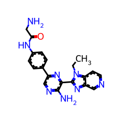 CCn1c(-c2nc(-c3ccc(NC(=O)CN)cc3)cnc2N)nc2cnccc21